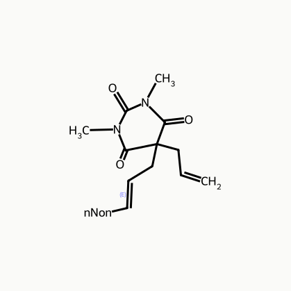 C=CCC1(C/C=C/CCCCCCCCC)C(=O)N(C)C(=O)N(C)C1=O